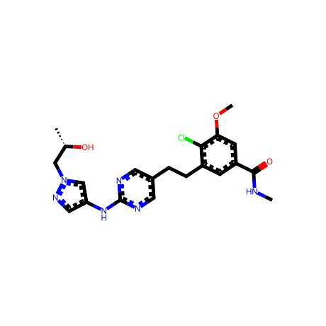 CNC(=O)c1cc(CCc2cnc(Nc3cnn(C[C@H](C)O)c3)nc2)c(Cl)c(OC)c1